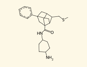 CSCC1C2CC3(c4ccccc4)CC1C(C(=O)NC1CCC(N)CC1)(C2)C3